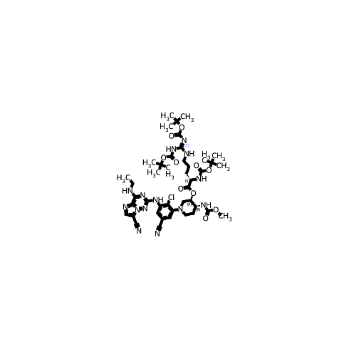 CCNc1nc(Nc2cc(C#N)cc(N3CC[C@@H](NC(=O)OC)[C@H](OC(=O)[C@H](CCCN/C(=N/C(=O)OC(C)(C)C)NC(=O)OC(C)(C)C)NC(=O)OC(C)(C)C)C3)c2Cl)nn2c(C#N)cnc12